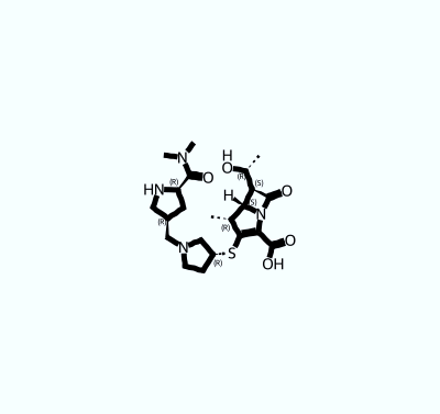 C[C@@H](O)[C@H]1C(=O)N2C(C(=O)O)=C(S[C@@H]3CCN(C[C@H]4CN[C@@H](C(=O)N(C)C)C4)C3)[C@H](C)[C@H]12